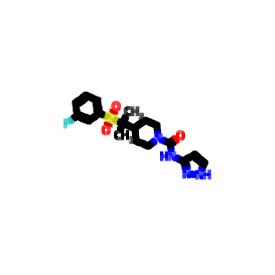 CC(C)(C1CCN(C(=O)Nc2cc[nH]n2)CC1)S(=O)(=O)c1cccc(F)c1